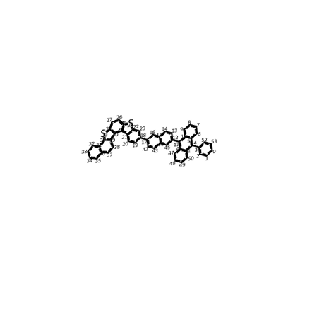 c1ccc(-c2c3ccccc3c(-c3ccc4cc(-c5ccc6c(c5)sc5ccc7sc8c9ccccc9ccc8c7c56)ccc4c3)c3ccccc23)cc1